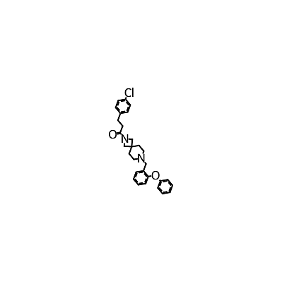 O=C(CCc1ccc(Cl)cc1)N1CC2(CCN(Cc3ccccc3Oc3ccccc3)CC2)C1